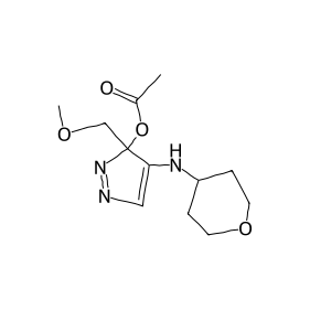 COCC1(OC(C)=O)N=NC=C1NC1CCOCC1